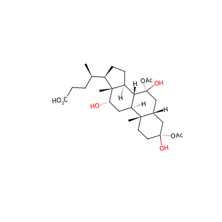 CC(=O)O[C@]1(O)CC[C@@]2(C)[C@@H](C1)C[C@@](O)(OC(C)=O)[C@@H]1[C@@H]2C[C@H](O)[C@]2(C)[C@@H]([C@H](C)CCC(=O)O)CC[C@@H]12